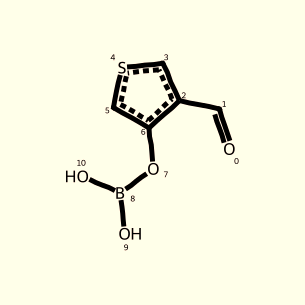 O=Cc1cscc1OB(O)O